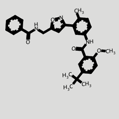 COc1ccc(C(C)(C)C)cc1C(=O)Nc1ccc(C)c(-c2cc(CNC(=O)c3ccccc3)on2)c1